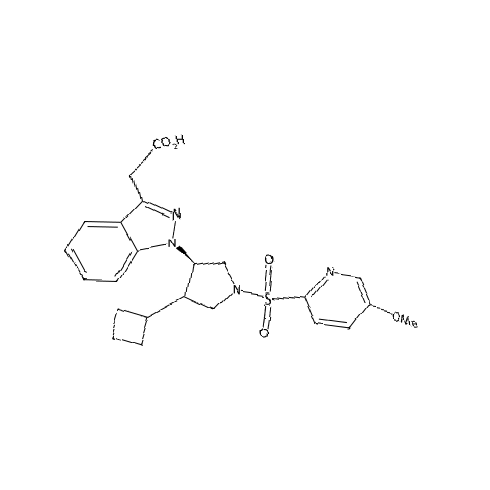 COc1ccc(S(=O)(=O)N2CC(C3CCC3)[C@@H](n3nc(CC(=O)O)c4ccccc43)C2)nc1